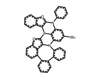 CC(C)(C)c1cc2c3c(c1)N1c4ccccc4-c4ccccc4-c4cccc5oc(c1c45)B3c1c(oc3ccccc13)N2c1ccccc1